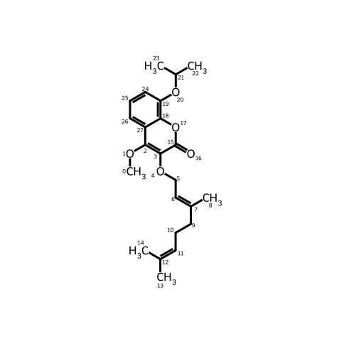 COc1c(OC/C=C(\C)CCC=C(C)C)c(=O)oc2c(OC(C)C)cccc12